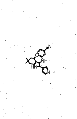 CC1(C)CC(=O)c2c([nH]c(-c3ccncc3)c2Nc2cccc(C#N)c2)C1